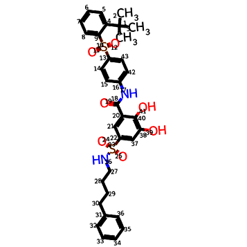 CC(C)(C)c1ccccc1S(=O)(=O)c1ccc(NC(=O)c2cc(S(=O)(=O)NCCCCc3ccccc3)cc(O)c2O)cc1